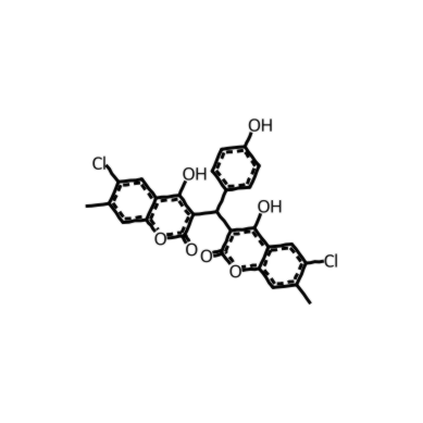 Cc1cc2oc(=O)c(C(c3ccc(O)cc3)c3c(O)c4cc(Cl)c(C)cc4oc3=O)c(O)c2cc1Cl